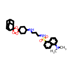 CN(C)c1cccc2c(S(=O)(=O)NCCCNC3CCC4(CC3)OOC3(O4)C4CC5CC(C4)CC3C5)cccc12